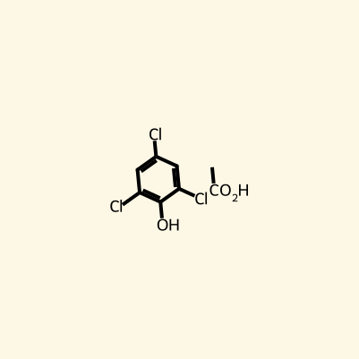 CC(=O)O.Oc1c(Cl)cc(Cl)cc1Cl